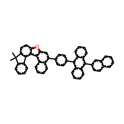 CC1(C)c2ccccc2-c2c1ccc1oc3cc(-c4ccc(-c5c6ccccc6c(-c6ccc7ccccc7c6)c6ccccc56)cc4)c4ccccc4c3c21